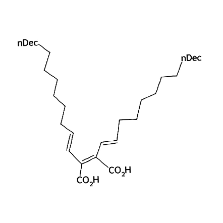 CCCCCCCCCCCCCCCCC=CC(C(=O)O)=C(C=CCCCCCCCCCCCCCCCC)C(=O)O